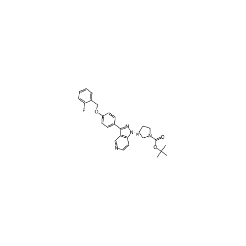 CC(C)(C)OC(=O)N1CC[C@@H](n2nc(-c3ccc(OCc4ccccc4F)cc3)c3cnccc32)C1